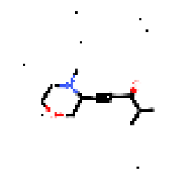 CC(C)C(=O)C#CC1COCCN1C